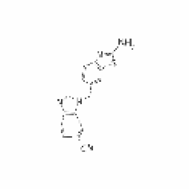 N#Cc1ccc2ncn(Cc3ccc4nc(N)sc4c3)c2c1